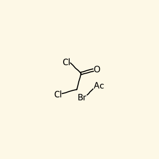 CC(=O)Br.O=C(Cl)CCl